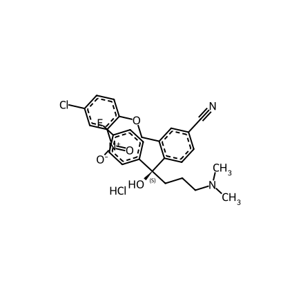 CN(C)CCC[C@](O)(c1ccc(F)cc1)c1ccc(C#N)cc1COc1ccc(Cl)cc1[N+](=O)[O-].Cl